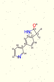 CC1(C)C(=O)Nc2cc(-c3cccnc3)ccc21